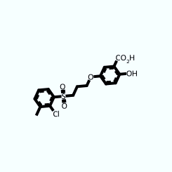 Cc1cccc(S(=O)(=O)CCCOc2ccc(O)c(C(=O)O)c2)c1Cl